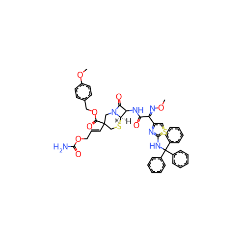 CON=C(C(=O)NC1C(=O)N2CC(C=CCOC(N)=O)(C(=O)OCc3ccc(OC)cc3)CS[C@H]12)c1csc(NC(c2ccccc2)(c2ccccc2)c2ccccc2)n1